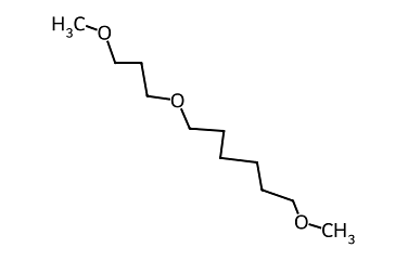 COCCCCCCOCCCOC